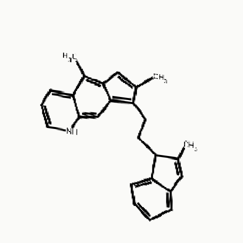 CC1=Cc2ccccc2C1CCc1c(C)cc2c(C)c3ccc[nH]c3cc12